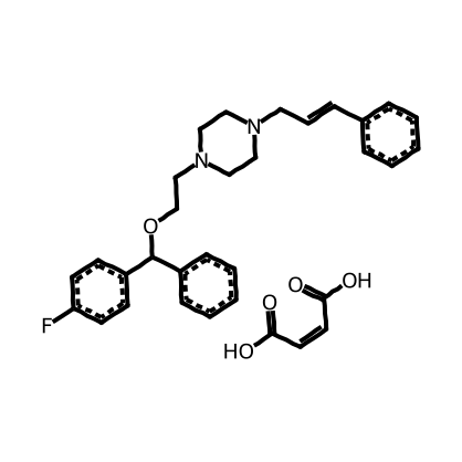 Fc1ccc(C(OCCN2CCN(CC=Cc3ccccc3)CC2)c2ccccc2)cc1.O=C(O)/C=C\C(=O)O